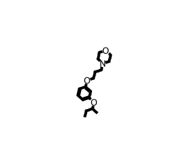 CCC(C)Oc1cccc(OCCCN2CCOCC2)c1